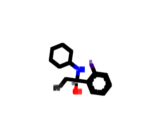 CC(C)C[C@@](O)(NC1CCCCC1)c1ccccc1I